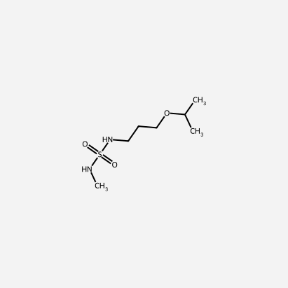 CNS(=O)(=O)NCCCOC(C)C